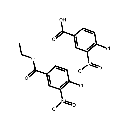 CCOC(=O)c1ccc(Cl)c([N+](=O)[O-])c1.O=C(O)c1ccc(Cl)c([N+](=O)[O-])c1